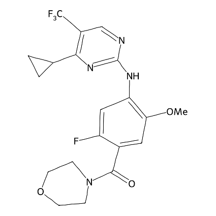 COc1cc(C(=O)N2CCOCC2)c(F)cc1Nc1ncc(C(F)(F)F)c(C2CC2)n1